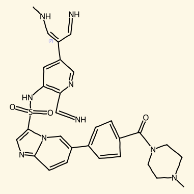 CN/C=C(\C=N)c1cnc(C=N)c(NS(=O)(=O)c2cnc3ccc(-c4ccc(C(=O)N5CCN(C)CC5)cc4)cn23)c1